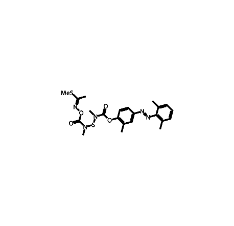 CSC(C)=NOC(=O)N(C)SN(C)C(=O)Oc1ccc(N=Nc2c(C)cccc2C)cc1C